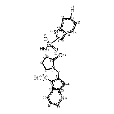 CCOC(=O)n1c(CN2CC[C@H](NS(=O)(=O)c3cc4ccc(Cl)cc4s3)C2=O)cc2ncccc21